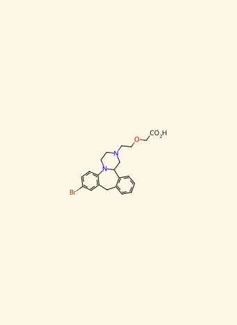 O=C(O)COCCN1CCN2c3ccc(Br)cc3Cc3ccccc3C2C1